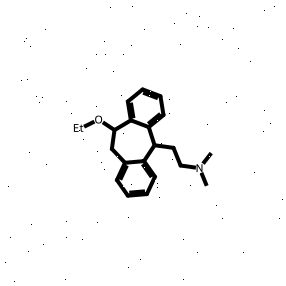 CCOC1Cc2ccccc2C(CCN(C)C)c2ccccc21